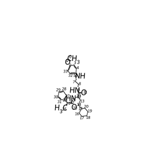 COc1ccc(NCCNC(=O)C(CCC2CCCCC2)NC(=O)[C@@H](C)c2ccccc2)cc1